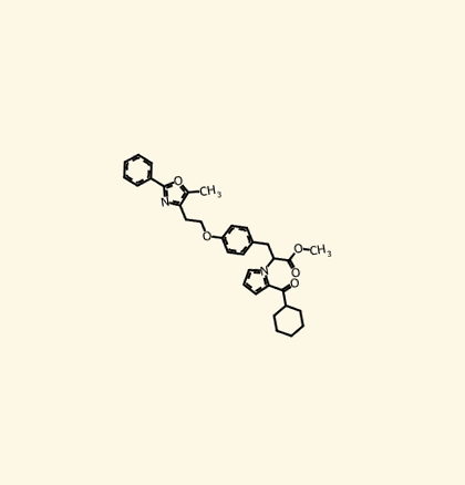 COC(=O)C(Cc1ccc(OCCc2nc(-c3ccccc3)oc2C)cc1)n1cccc1C(=O)C1CCCCC1